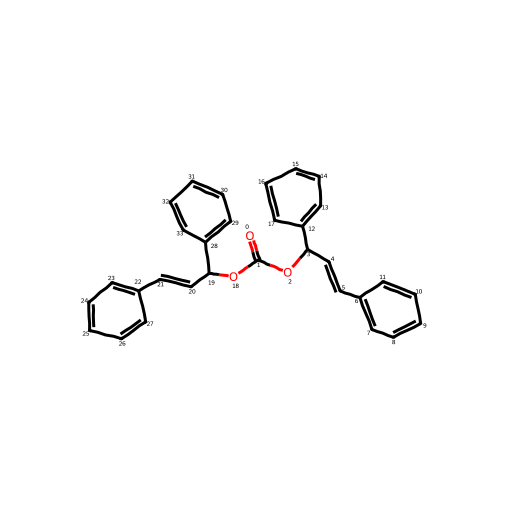 O=C(OC(/C=C/c1ccccc1)c1ccccc1)OC(/C=C/c1ccccc1)c1ccccc1